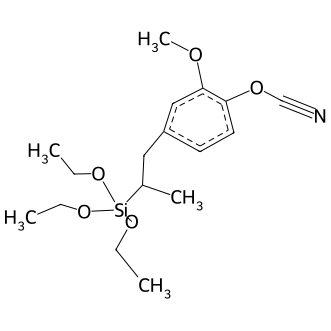 CCO[Si](OCC)(OCC)C(C)Cc1ccc(OC#N)c(OC)c1